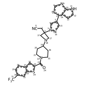 N#CCC1(n2cc(-c3ncnc4[nH]ccc34)cn2)CN(C2CCN(C(=O)c3cc4ccc(C(F)(F)F)cc4s3)CC2)C1